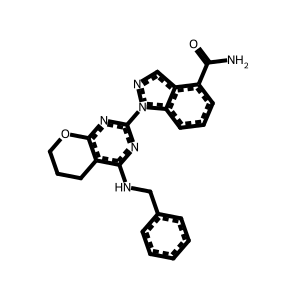 NC(=O)c1cccc2c1cnn2-c1nc(NCc2ccccc2)c2c(n1)OCCC2